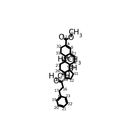 COC(=O)C1=CC2=CC[C@H]3[C@@H]4CC[C@H](C(=O)CCc5ccccc5)[C@@]4(C)CC[C@@H]3[C@@]2(C)CC1